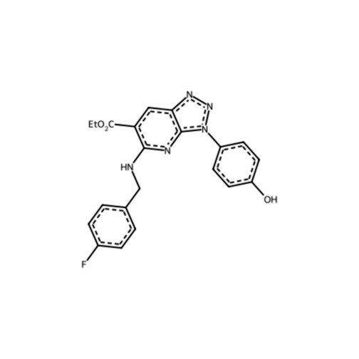 CCOC(=O)c1cc2nnn(-c3ccc(O)cc3)c2nc1NCc1ccc(F)cc1